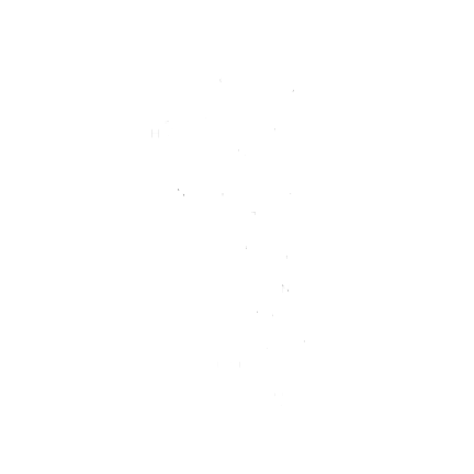 CCCCS(=O)(=O)ON=C1C=CC(=C(C#N)c2ccccc2C)S1